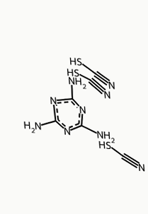 N#CS.N#CS.N#CS.Nc1nc(N)nc(N)n1